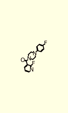 O=C(c1cccnc1F)N1CCN(c2ccc(F)cc2)CC1